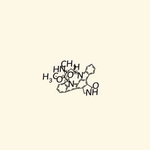 CN[C@H]1C[C@@H]2O[C@@]3(c4cccc5c6c7c(c8c9ccccc9n2c8c6n3c45)C(=O)NC7)[C@H]1OC